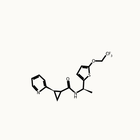 C[C@@H](NC(=O)C1C[C@H]1c1ccccn1)c1ccc(OCC(F)(F)F)s1